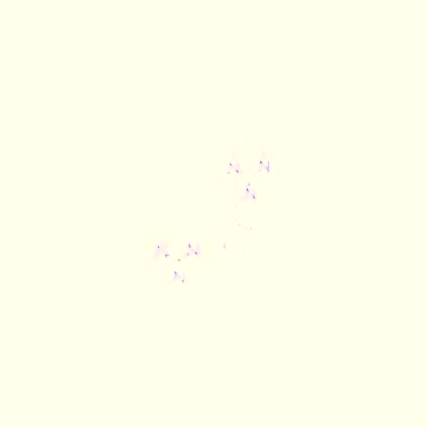 CN1CCCN(C)C1=NCc1cccc(CN=C2N(C)CCCN2C)c1